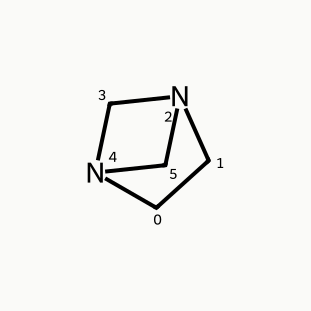 C1CN2CN1C2